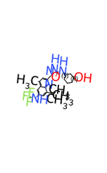 Cc1cc(C2=NNC(N[C@H]3CCC[C@@H](O)C3)O2)nc2c(C(C)(C)C)cc(NC(F)(F)F)cc12